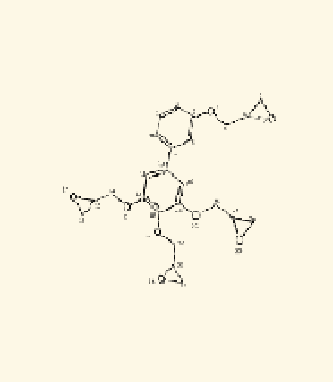 c1cc(OCC2CO2)cc(-c2cc(OCC3CO3)c(OCC3CO3)c(OCC3CO3)c2)c1